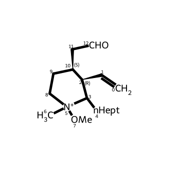 C=C[C@H]1C(CCCCCCC)[N+](C)(OC)CC[C@H]1CC=O